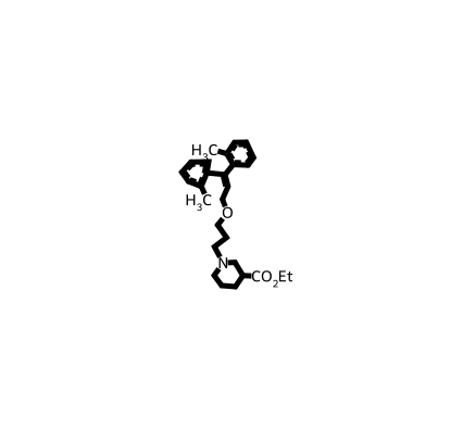 CCOC(=O)C1CCCN(CCCOCC=C(c2ccccc2C)c2ccccc2C)C1